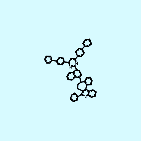 c1ccc(-c2ccc(-c3cc(-c4ccc(-c5ccccc5)cc4)nc(-c4ccc(C5CCc6c(-c7ccccc7)nc7ccccc7c6-c6ccccc65)c5ccccc45)n3)cc2)cc1